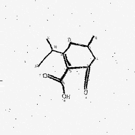 CC1CC(=O)C(C(=O)O)=C(C(C)C)C1